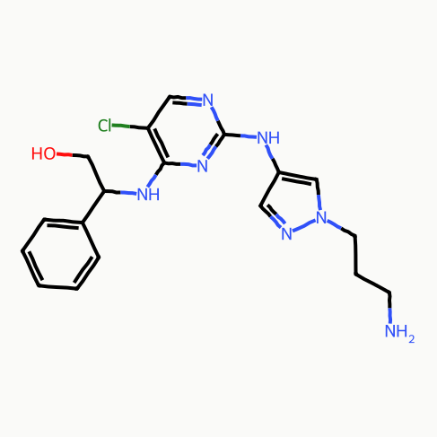 NCCCn1cc(Nc2ncc(Cl)c(NC(CO)c3ccccc3)n2)cn1